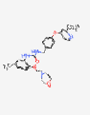 O=C(NCc1ccc(Oc2ccnc(C(=O)O)c2)cc1)Nc1cc(C(F)(F)F)ccc1OCCN1CCOCC1